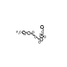 O=C(C=COCCN1C(=O)CCc2c1cnn(COCc1ccccc1)c2=O)N1CCN(c2ccc(C(F)(F)F)cn2)CC1